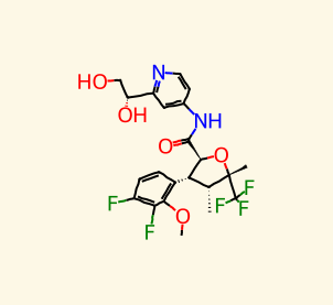 COc1c([C@@H]2[C@@H](C(=O)Nc3ccnc([C@H](O)CO)c3)O[C@](C)(C(F)(F)F)[C@@H]2C)ccc(F)c1F